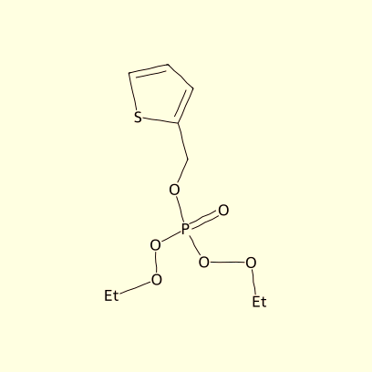 CCOOP(=O)(OCc1cccs1)OOCC